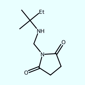 CCC(C)(C)NCN1C(=O)CCC1=O